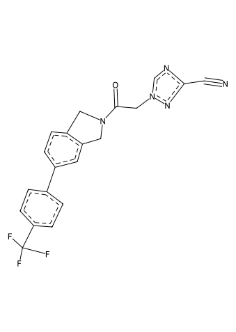 N#Cc1ncn(CC(=O)N2Cc3ccc(-c4ccc(C(F)(F)F)cc4)cc3C2)n1